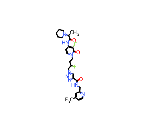 CC(C(=O)Nc1ccn(CCC(F)Cn2cc(C(=O)NCc3cc(C(F)(F)F)ccn3)nn2)c(=O)c1F)N1CCCCC1